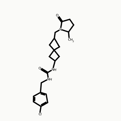 CC1CCC(=O)N1CC1CC2(C1)CC(NC(=O)NCc1ccc(Cl)cc1)C2